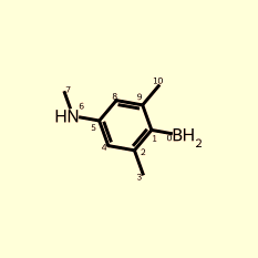 Bc1c(C)cc(NC)cc1C